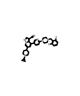 N#Cc1cnn2cc(C3CCN(C4CC4)CC3)cc(-c3ccc(N4CCN(Cc5c(F)cccc5F)CC4)nc3)c12